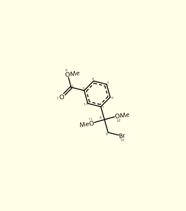 COC(=O)c1cccc(C(CBr)(OC)OC)c1